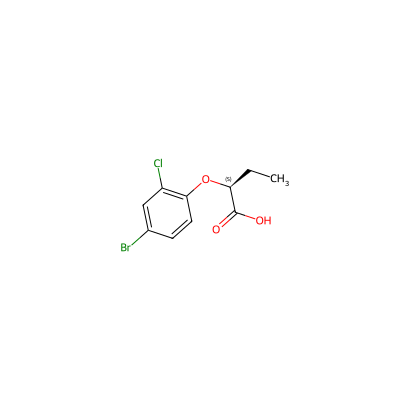 CC[C@H](Oc1ccc(Br)cc1Cl)C(=O)O